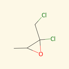 CC1OC1(Cl)CCl